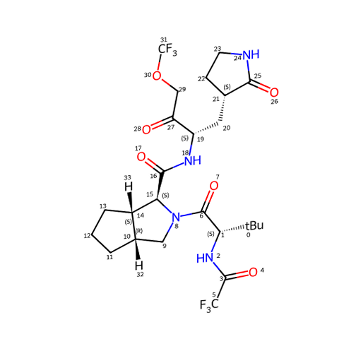 CC(C)(C)[C@H](NC(=O)C(F)(F)F)C(=O)N1C[C@@H]2CCC[C@@H]2[C@H]1C(=O)N[C@@H](C[C@@H]1CCNC1=O)C(=O)COC(F)(F)F